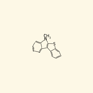 Cn1c2ccccc2c2c3ccccc3sc21